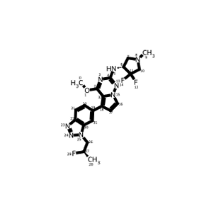 COc1nc(N[C@@H]2CN(C)CC2(F)F)nn2ccc(-c3ccc4nnn(C[C@@H](C)F)c4c3)c12